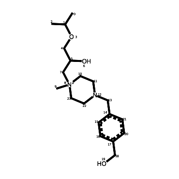 CC(C)OCC(O)C[N+]1(C)CCN(Cc2ccc(CO)cc2)CC1